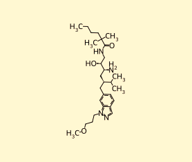 CCCCC(C)(C)C(=O)NC[C@H](O)[C@@H](N)C[C@H](Cc1ccc2cnn(CCCOC)c2c1)C(C)C